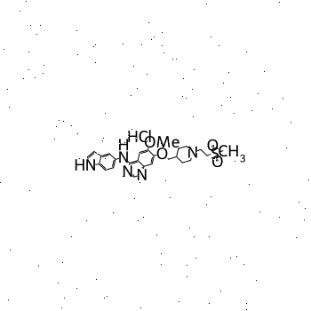 COc1cc2c(Nc3ccc4[nH]ccc4c3)ncnc2cc1OCC1CCN(CCS(C)(=O)=O)CC1.Cl